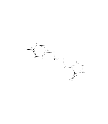 O=C1NCCN1CCNCc1ccc(F)cc1